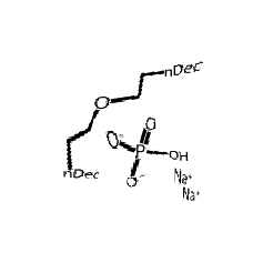 CCCCCCCCCCCCOCCCCCCCCCCCC.O=P([O-])([O-])O.[Na+].[Na+]